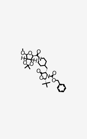 CO[C@H]1O[C@@H](C(=O)N2CCC(C[C@H]3C(=O)O[C@@H](C(C)(C)C)N3C(=O)OCc3ccccc3)CC2)[C@@H]2OC(C)(C)O[C@H]12